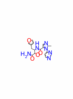 Cc1ncc(C(=O)NC(Cc2ccoc2)C(=O)C(N)=O)n1-c1ccncn1